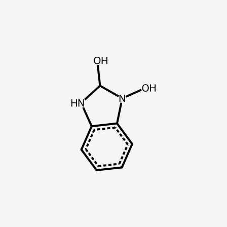 OC1Nc2ccccc2N1O